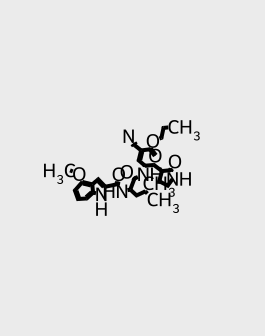 CCCOC(=O)/C(C#N)=C\C(CC1CCNC1=O)NC(=O)C(CC(C)C)NC(=O)c1cc2c(OC)cccc2[nH]1